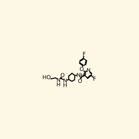 O=C(NCCO)NC1CCC(NC(=O)c2cc(F)cnc2Oc2ccc(F)cc2)CC1